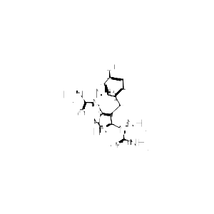 CCc1ccc(Cc2c(N(N)C(N)=O)n[nH]c2N(N)C(N)=O)cc1